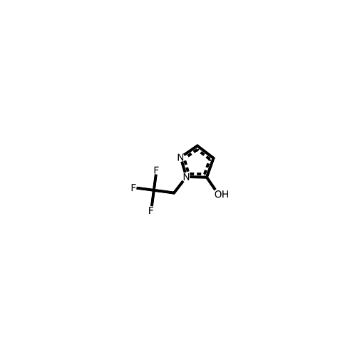 Oc1ccnn1CC(F)(F)F